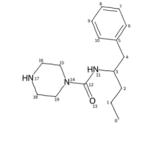 CCCC(Cc1ccccc1)NC(=O)N1CCNCC1